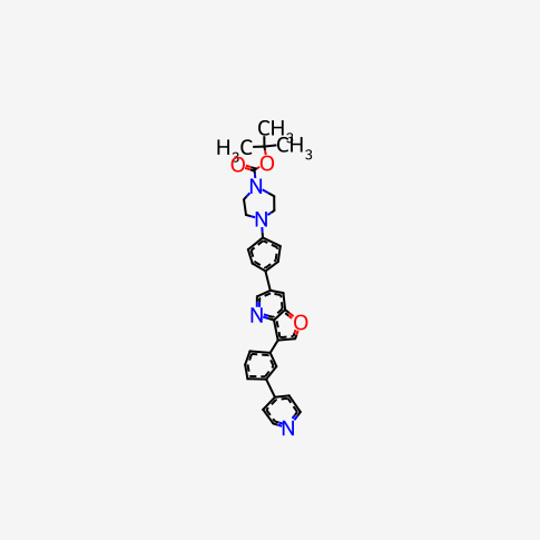 CC(C)(C)OC(=O)N1CCN(c2ccc(-c3cnc4c(-c5cccc(-c6ccncc6)c5)coc4c3)cc2)CC1